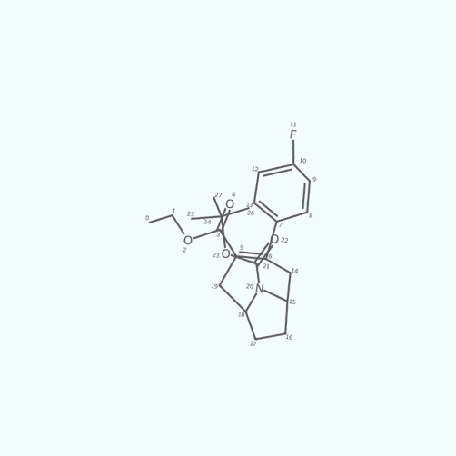 CCOC(=O)C1=C(c2ccc(F)cc2)CC2CCC(C1)N2C(=O)OC(C)(C)C